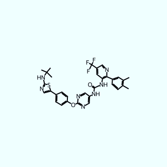 Cc1ccc(-c2ncc(C(F)(F)F)cc2NC(=O)Nc2cnc(Oc3ccc(-c4cnc(NC(C)(C)C)s4)cc3)nc2)cc1C